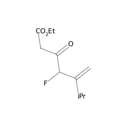 C=C(C(C)C)C(F)C(=O)CC(=O)OCC